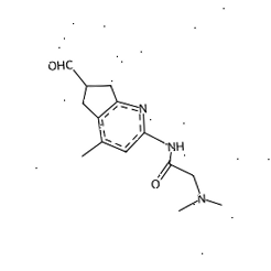 Cc1cc(NC(=O)CN(C)C)nc2c1CC(C=O)C2